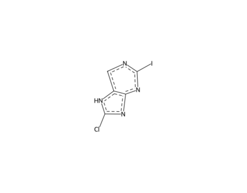 Clc1nc2nc(I)ncc2[nH]1